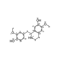 COc1cc(CC2NCCc3cc(OC)c(O)cc32)ccc1O